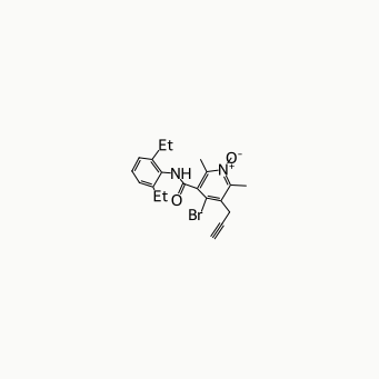 C#CCc1c(Br)c(C(=O)Nc2c(CC)cccc2CC)c(C)[n+]([O-])c1C